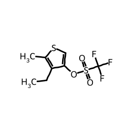 CCc1c(OS(=O)(=O)C(F)(F)F)csc1C